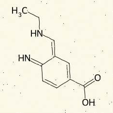 CCN/C=C1/C=C(C(=O)O)C=CC1=N